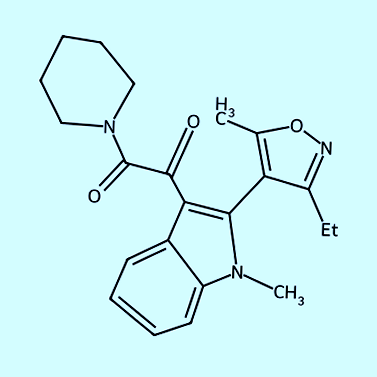 CCc1noc(C)c1-c1c(C(=O)C(=O)N2CCCCC2)c2ccccc2n1C